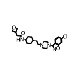 O=C(CC1COC1)N[C@H]1CC[C@H](CCN2CCN(c3noc4cc(Cl)ccc34)CC2)CC1